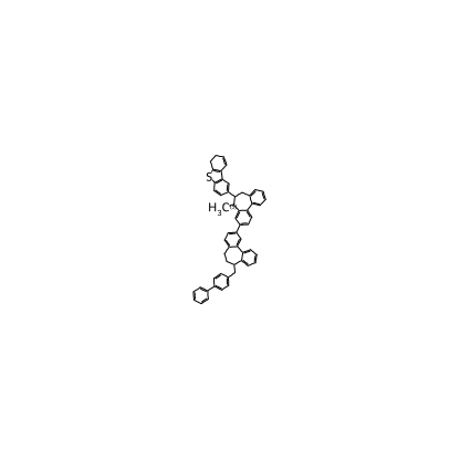 C[C@@H]1c2cc(-c3ccc4c(c3)-c3ccccc3C(Cc3ccc(-c5ccccc5)cc3)CC4)ccc2-c2ccccc2CC1c1ccc2sc3c(c2c1)C=CCC3